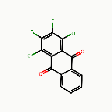 O=C1c2ccccc2C(=O)c2c(Cl)c(F)c(F)c(Cl)c21